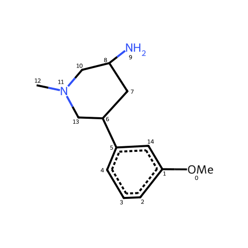 COc1cccc(C2CC(N)CN(C)C2)c1